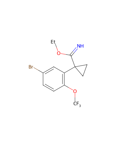 CCOC(=N)C1(c2cc(Br)ccc2OC(F)(F)F)CC1